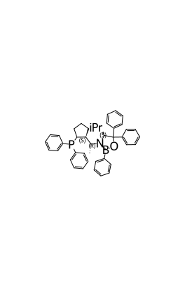 CC(C)[C@@H]1N([C@H](C)[C@@H]2CCCC2P(c2ccccc2)c2ccccc2)B(c2ccccc2)OC1(c1ccccc1)c1ccccc1